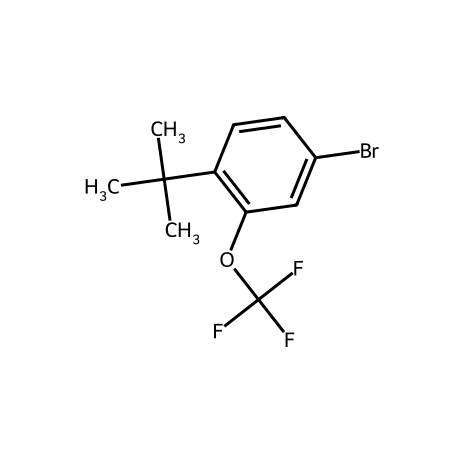 CC(C)(C)c1ccc(Br)cc1OC(F)(F)F